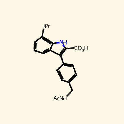 CC(=O)NCc1ccc(-c2c(C(=O)O)[nH]c3c(C(C)C)cccc23)cc1